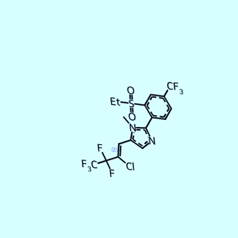 CCS(=O)(=O)c1cc(C(F)(F)F)ccc1-c1ncc(/C=C(\Cl)C(F)(F)C(F)(F)F)n1C